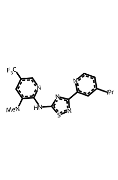 CNc1cc(C(F)(F)F)cnc1Nc1nc(-c2cc(C(C)C)ccn2)ns1